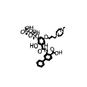 CN1CCN(CCCOc2ccc(O)c(C(=O)Nc3cc(-c4ccccc4)ccc3C(=O)O)c2)CC1.CS(=O)(=O)O.CS(=O)(=O)O